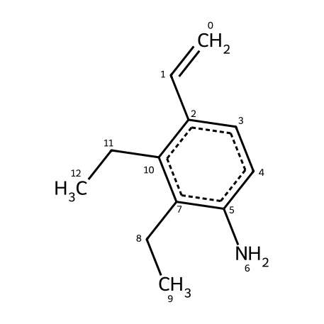 C=Cc1ccc(N)c(CC)c1CC